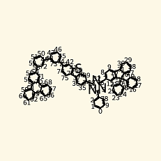 c1ccc(-c2nc(-c3ccc4c(c3)C(c3ccccc3)(c3ccccc3)c3ccccc3-4)nc(-c3ccc4c(c3)sc3cc(-c5cccc(-c6cccc(-c7ccc8c9ccccc9c9ccccc9c8c7)c6)c5)ccc34)n2)cc1